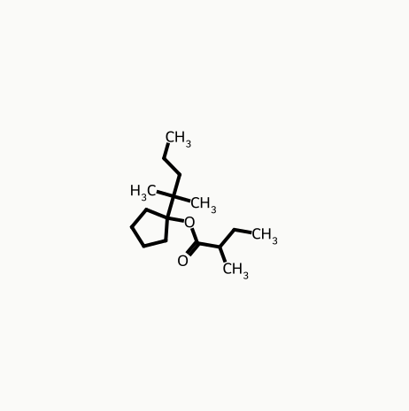 CCCC(C)(C)C1(OC(=O)C(C)CC)CCCC1